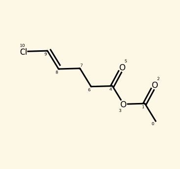 CC(=O)OC(=O)CCC=CCl